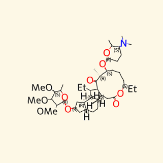 CCC1C2C(=O)[C@H](C)[C@@H](O[C@H]3CC[C@H](N(C)C)C(C)O3)CCC[C@H](CC)OC(=O)C[C@H]2[C@@H]2CC[C@@H]3C[C@@H](O[C@@H]4OC(C)[C@H](OC)C(OC)C4OC)C[C@H]3[C@H]12